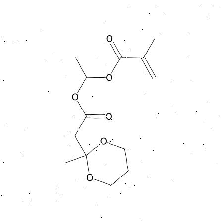 C=C(C)C(=O)OC(C)OC(=O)CC1(C)OCCCO1